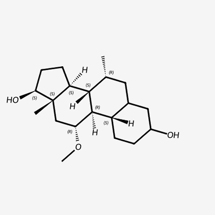 CO[C@@H]1C[C@]2(C)[C@@H](O)CC[C@H]2[C@H]2[C@H]1[C@H]1CCC(O)CC1C[C@H]2C